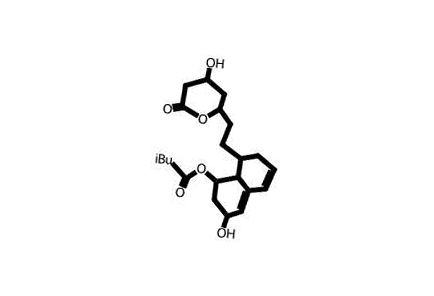 CCC(C)C(=O)OC1CC(O)C=C2C=CCC(CCC3CC(O)CC(=O)O3)C21